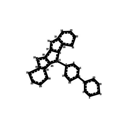 c1ccc(-c2ccc(-n3c4c5ccccc5sc4c4sc5ccccc5c43)cc2)cc1